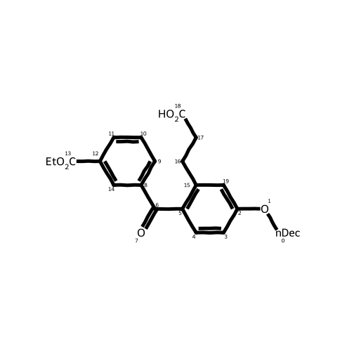 CCCCCCCCCCOc1ccc(C(=O)c2cccc(C(=O)OCC)c2)c(CCC(=O)O)c1